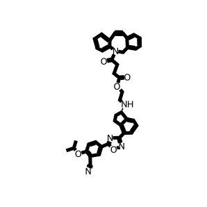 CC(C)Oc1ccc(-c2nc(-c3cccc4c3CC[C@@H]4NCCOC(=O)CCC(=O)N3Cc4ccccc4C#Cc4ccccc43)no2)cc1C#N